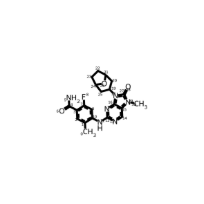 Cc1cc(C(N)=O)c(F)cc1Nc1ncc2c(n1)n(C1CC3CCC(C1)O3)c(=O)n2C